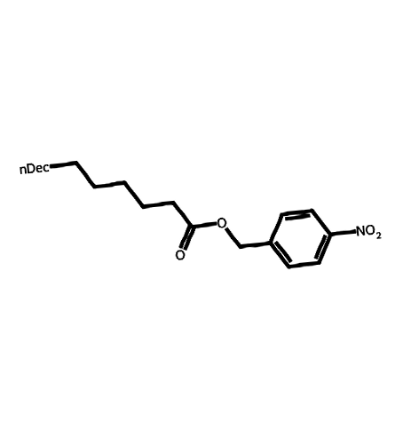 CCCCCCCCCCCCCCCC(=O)OCc1ccc([N+](=O)[O-])cc1